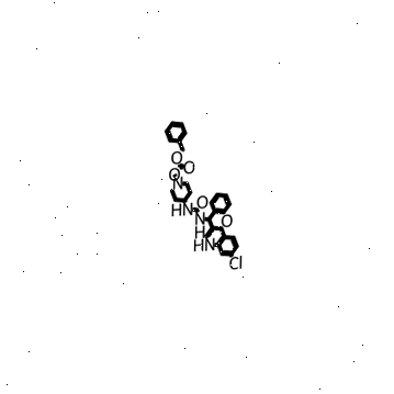 O=C(NC1CCN(OC(=O)OCc2ccccc2)CC1)NC(c1ccccc1)c1c[nH]c2cc(Cl)ccc2c1=O